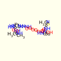 Cc1cc(C)c(CNC(=O)c2cc(-c3ccc(N4CCN(CCNC(=O)CCOCCOCCOCCOCCC(=O)N[C@H](C(=O)N5C[C@H](O)C[C@H]5C(=O)NCc5ccc(-c6scnc6C)cc5)C(C)(C)C)CC4)nc3)cc(NC(C)C)c2C=N)c(=O)[nH]1